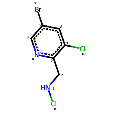 ClNCc1ncc(Br)cc1Cl